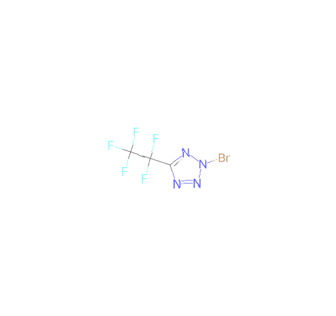 FC(F)(F)C(F)(F)c1nnn(Br)n1